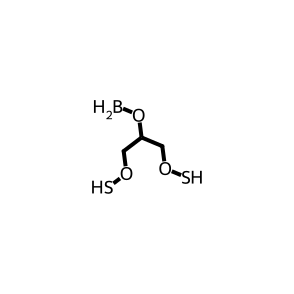 BOC(COS)COS